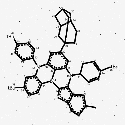 Cc1ccc2sc3c(c2c1)N(C1C=CC(C(C)(C)C)=CC1)c1cc(C24CCC5CC(CC5C2)C4)cc2c1B3c1ccc(C(C)(C)C)cc1N2c1ccc(C(C)(C)C)cc1